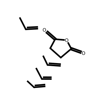 C=CC.C=CC.C=CC.C=CC.O=C1CCC(=O)O1